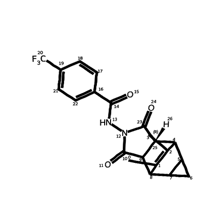 CC1=C(C)C2C3CC3C1C1C(=O)N(NC(=O)c3ccc(C(F)(F)F)cc3)C(=O)[C@H]21